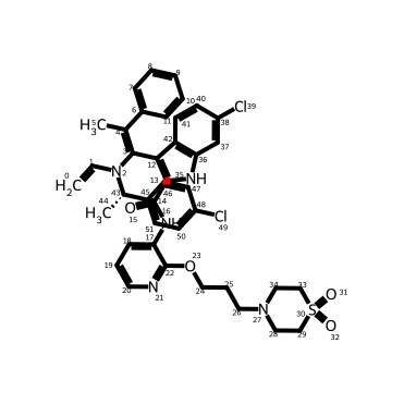 C=CN(/C(=C(\C)c1ccccc1)c1c(C(=O)Nc2cccnc2OCCCN2CCS(=O)(=O)CC2)[nH]c2cc(Cl)ccc12)[C@@H](C)c1ccc(Cl)cc1